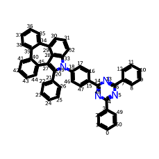 c1ccc(-c2nc(-c3ccccc3)nc(-c3ccc(-n4c(-c5ccccc5)c5c6c(cccc64)-c4ccccc4-c4ccccc4-5)cc3)n2)cc1